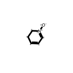 [O-][N+]1=CC=CC[C]1